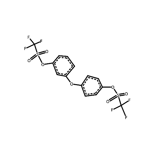 O=S(=O)(Oc1ccc(Oc2cccc(OS(=O)(=O)C(F)(F)F)c2)cc1)C(F)(F)F